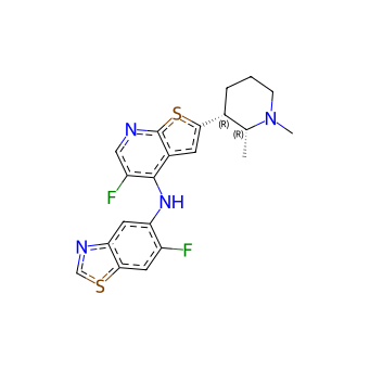 C[C@@H]1[C@H](c2cc3c(Nc4cc5ncsc5cc4F)c(F)cnc3s2)CCCN1C